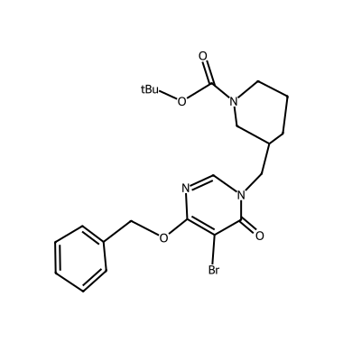 CC(C)(C)OC(=O)N1CCCC(Cn2cnc(OCc3ccccc3)c(Br)c2=O)C1